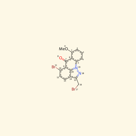 COc1cccc2c1c(=O)c1c(Br)ccc3c(CBr)nn2c31